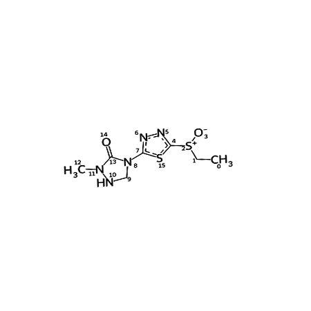 CC[S+]([O-])c1nnc(N2CNN(C)C2=O)s1